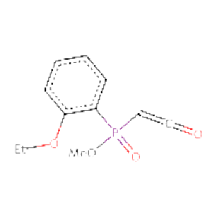 CCOc1ccccc1P(=O)(C=C=O)OC